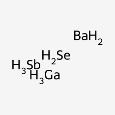 [BaH2].[GaH3].[SbH3].[SeH2]